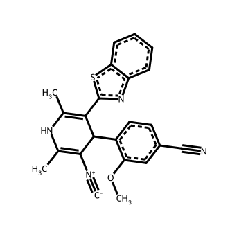 [C-]#[N+]C1=C(C)NC(C)=C(c2nc3ccccc3s2)C1c1ccc(C#N)cc1OC